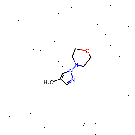 Cc1cnn(N2CCOCC2)c1